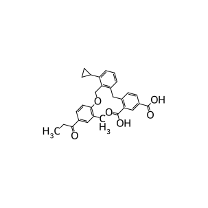 CCC(=O)c1ccc(OCc2c(Cc3ccc(C(=O)O)cc3C(=O)O)cccc2C2CC2)c(C)c1